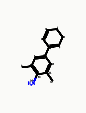 Cc1cc(C2=CCCC=C2)cc(C)c1N